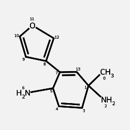 CC1(N)C=CC(N)C(c2ccoc2)=C1